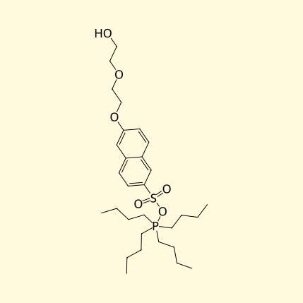 CCCCP(CCCC)(CCCC)(CCCC)OS(=O)(=O)c1ccc2cc(OCCOCCO)ccc2c1